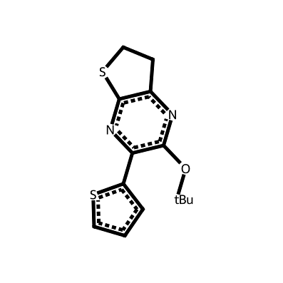 CC(C)(C)Oc1nc2c(nc1-c1cccs1)SCC2